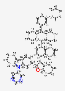 c1ccc(-c2cccc(-c3c4ccccc4c(-c4ccc(-c5c(-c6ccc7c8ccccc8n(-c8cncnc8)c7c6)oc6ccccc56)c5ccccc45)c4ccccc34)c2)cc1